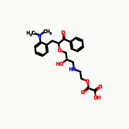 CN(C)c1ccccc1CC(OCC(O)CNCCOC(=O)C(=O)O)C(=O)c1ccccc1